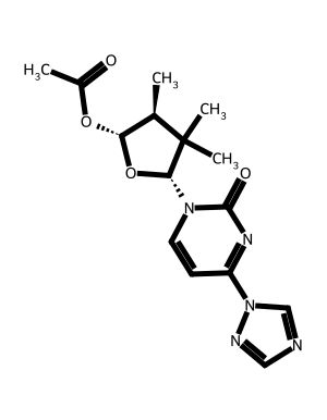 CC(=O)O[C@H]1O[C@@H](n2ccc(-n3cncn3)nc2=O)C(C)(C)[C@@H]1C